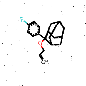 C=CCOC1(c2ccc(F)cc2)C2CC3CC(C2)CC1C3